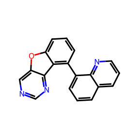 c1cnc2c(-c3cccc4oc5cncnc5c34)cccc2c1